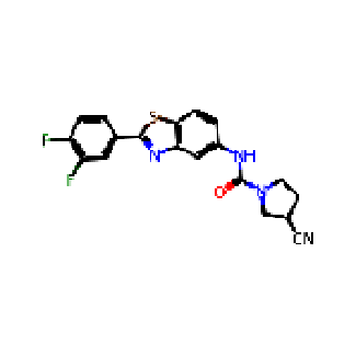 N#CC1CCN(C(=O)Nc2ccc3sc(-c4ccc(F)c(F)c4)nc3c2)C1